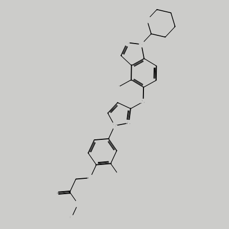 CC(C)(C)OC(=O)COc1ccc(-n2ccc(Nc3ccc4c(cnn4C4CCCCO4)c3Cl)n2)cc1F